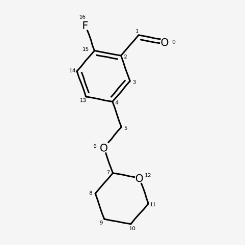 O=Cc1cc(COC2CCCCO2)ccc1F